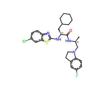 C[C@@H](CN1CCc2cc(F)ccc21)NC(=O)[C@H](CC1CCCCC1)Nc1nc2ccc(Cl)cc2s1